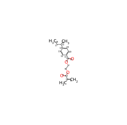 C=C(C)C(=O)OCCOC(=O)c1ccc(C(C)CC)cc1